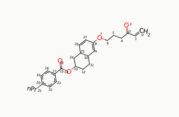 C=CC(=O)CCCOC1=CC2CCC(OC(=O)c3ccc(CCC)cc3)CC2C=C1